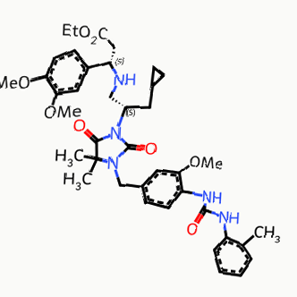 CCOC(=O)C[C@H](NC[C@H](CC1CC1)N1C(=O)N(Cc2ccc(NC(=O)Nc3ccccc3C)c(OC)c2)C(C)(C)C1=O)c1ccc(OC)c(OC)c1